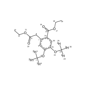 [2H]C([2H])([2H])Oc1cc(CC(=O)OCC)c(C(=O)OCC)cc1OC([2H])([2H])[2H]